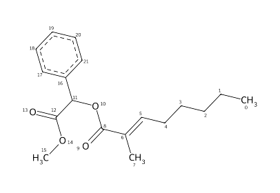 CCCCCC=C(C)C(=O)OC(C(=O)OC)c1ccccc1